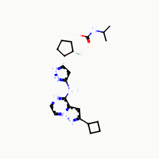 CC(C)NC(=O)O[C@H]1CC[C@@H](c2cc(Nc3nccn4nc(C5CCC5)cc34)n[nH]2)[C@@H]1F